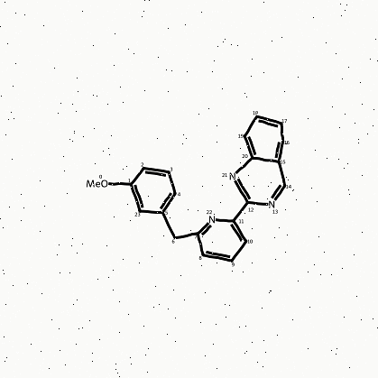 COc1cccc(Cc2cccc(-c3ncc4ccccc4n3)n2)c1